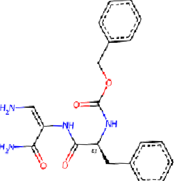 NC=C(NC(=O)[C@H](Cc1ccccc1)NC(=O)OCc1ccccc1)C(N)=O